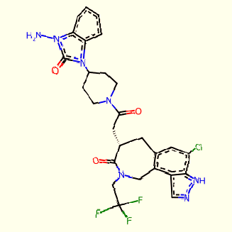 Nn1c(=O)n(C2CCN(C(=O)C[C@@H]3Cc4cc(Cl)c5[nH]ncc5c4CN(CC(F)(F)F)C3=O)CC2)c2ccccc21